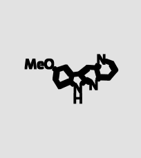 COc1ccc2[nH]c3nc4cccnc4cc3c2c1